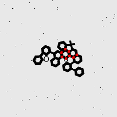 CC1(C)c2ccccc2-c2c(N(c3cccc(-c4ccccc4)c3-c3ccccc3-c3ccccc3)c3ccc(-c4cccc5c4oc4ccccc45)c4ccccc34)cccc21